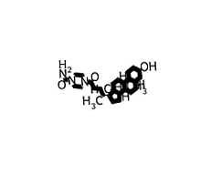 CC(CCC(=O)N1CCN(C(N)=O)CC1)[C@H]1CC[C@H]2[C@@H]3CC[C@H]4C[C@@H](O)CC[C@]4(C)[C@H]3CC[C@]12C